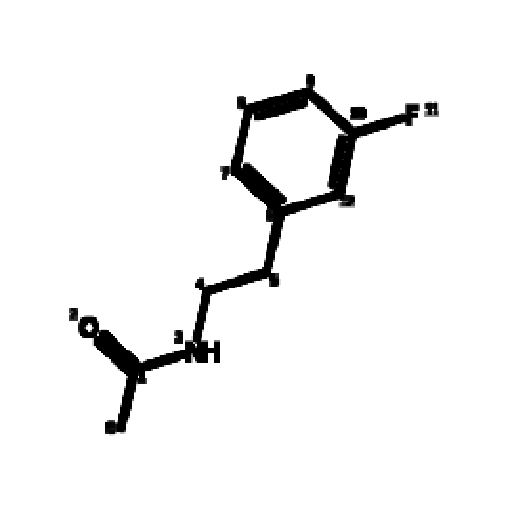 CC(=O)NCCc1cc[c]c(F)c1